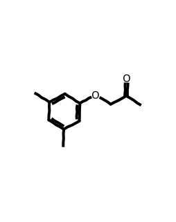 CC(=O)COc1cc(C)cc(C)c1